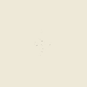 N#CN1C[C@@H]2CC[C@@H]2[C@@H]1C(=O)N(c1ccc(S(F)(F)(F)(F)F)cc1)C(C(=O)NC1CCC(F)(F)CC1)c1cncc(F)c1